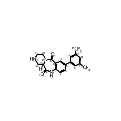 O=C1Nc2ccc(-c3cc(C(F)(F)F)cc(C(F)(F)F)c3)cc2C(=O)N2CCNC[C@@H]12